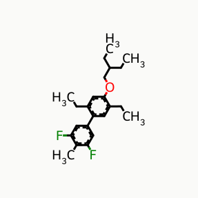 CCc1cc(-c2cc(F)c(C)c(F)c2)c(CC)cc1OCC(CC)CC